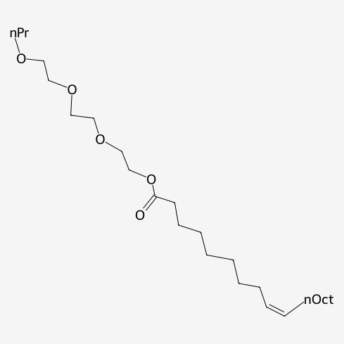 CCCCCCCC/C=C\CCCCCCCC(=O)OCCOCCOCCOCCC